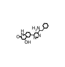 NC(Cc1ccccc1)c1cc(-c2ccc3[nH]c(=O)cc(O)c3c2)ncn1